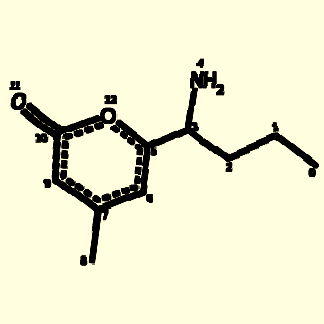 CCCC(N)c1cc(C)cc(=O)o1